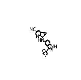 N#Cc1cnc2c(c1)C1CC1[C@H]2Nc1ccc2[nH]nc(-c3cnco3)c2c1